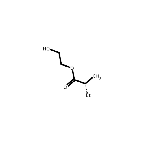 CC[C@@H](C)C(=O)OCCO